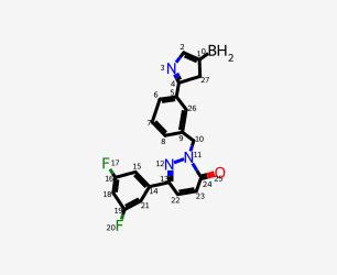 BC1=CN=C(c2cccc(Cn3nc(-c4cc(F)cc(F)c4)ccc3=O)c2)C1